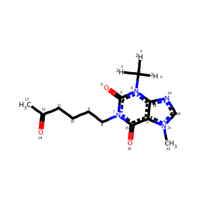 [2H]C([2H])([2H])n1c(=O)n(CCCCC(C)=O)c(=O)c2c1ncn2C